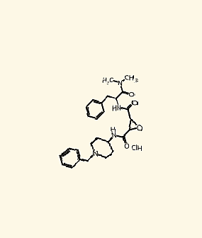 CN(C)C(=O)[C@H](Cc1ccccc1)NC(=O)C1OC1C(=O)NC1CCN(Cc2ccccc2)CC1.Cl